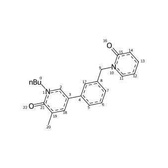 CCCCn1cc(-c2cccc(Cn3ccccc3=O)c2)cc(C)c1=O